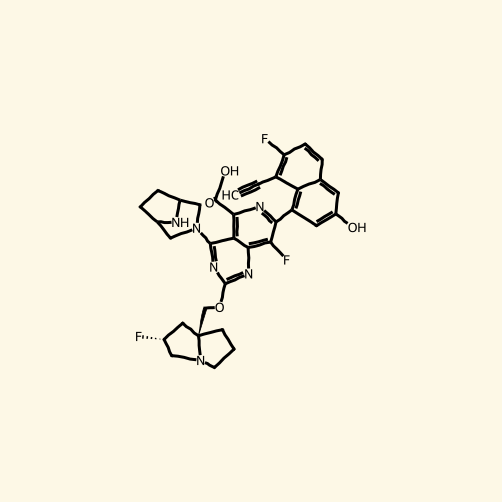 C#Cc1c(F)ccc2cc(O)cc(-c3nc(C(=O)O)c4c(N5CC6CCC(C5)N6)nc(OC[C@@]56CCCN5C[C@H](F)C6)nc4c3F)c12